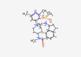 Cc1cc(N2CCC(N(C)C(=O)c3ccc4c(c3)C(N(C)S(C)(=O)=O)CC4)CC2)cc(C)n1